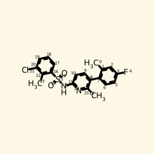 Cc1cc(F)ccc1-c1ccc(NS(=O)(=O)c2cccc(Cl)c2C)nc1C